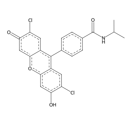 CC(C)NC(=O)c1ccc(-c2c3cc(Cl)c(=O)cc-3oc3cc(O)c(Cl)cc23)cc1